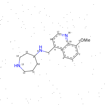 COc1cccc2c(CNC3CCCNCC3)ccnc12